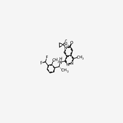 Cc1c(C(F)F)cccc1[C@@H](C)Nc1nnc(C)c2cc(=O)n(C3(C)CC3)cc12